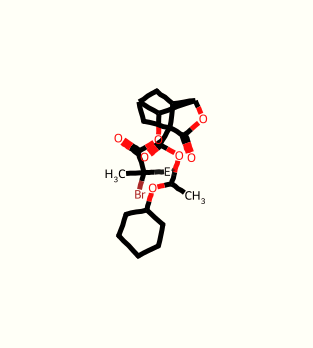 CCC(C)(Br)C(=O)OC1C2CC3C1OC(=O)C3(C(=O)OC(C)OC1CCCCC1)C2